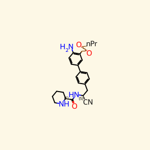 CCCS(=O)(=O)c1cc(-c2ccc(C[C@@H](C#N)NC(=O)[C@@H]3CCCCN3)cc2)ccc1N